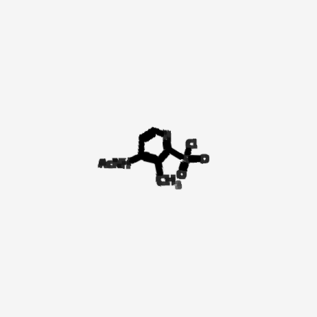 CC(=O)Nc1ccnc(S(=O)(=O)Cl)c1C